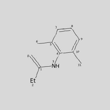 C=C(CC)Nc1c(C)cccc1C